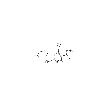 CCO[C@@H]([O])c1nnc(N[C@@H]2CCCN(C)C2)cc1C1CC1